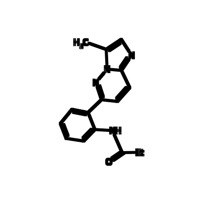 CCC(=O)Nc1ccccc1-c1ccc2ncc(C)n2n1